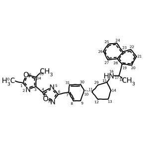 Cc1nc(-c2nc(C3=CCC([C@H]4CCCC(N[C@H](C)c5cccc6ccccc56)C4)C=C3)no2)c(C)o1